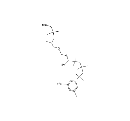 Cc1cc(C(C)(C)C)cc(C(C)(C)CC(C)(C)CC(C)(C)C(SCSCC(C)CC(C)(C)CC(C)(C)C)C(C)C)c1